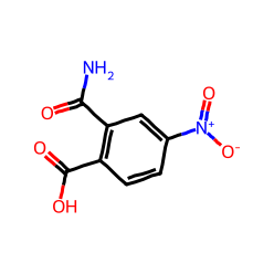 NC(=O)c1cc([N+](=O)[O-])ccc1C(=O)O